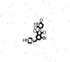 O=C1CCC(N2C(=O)c3cc(CN4CCNCC4)cc(Br)c3C2=O)C(=O)N1